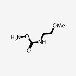 COCCNC(=O)ON